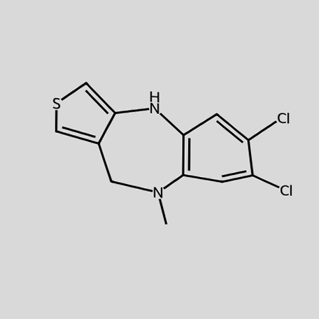 CN1Cc2cscc2Nc2cc(Cl)c(Cl)cc21